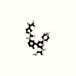 Br.Cc1ccc(NC(=O)N2CCC(C(F)C(F)F)C2)cc1-c1cc(NC(C)CO)nc(N2CCOCC2)c1